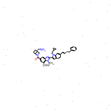 COc1cc(C(=O)N2C[C@@]3(CN)CCC23)cc2nc(-c3cc4ccc(/C=C/CCc5ccccc5)cc4n3CC3CC3)n(C)c12